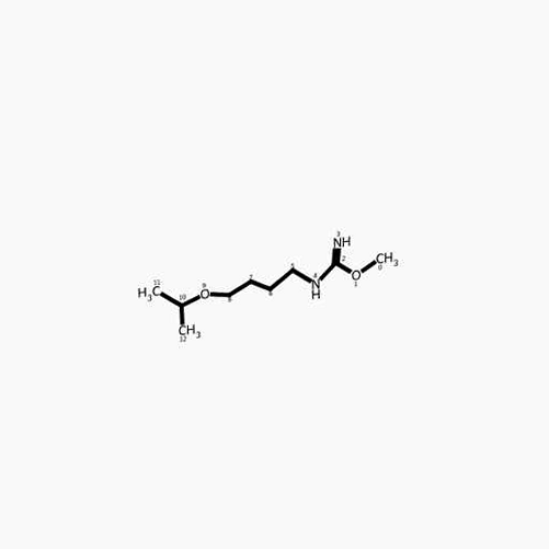 COC(=N)NCCCCOC(C)C